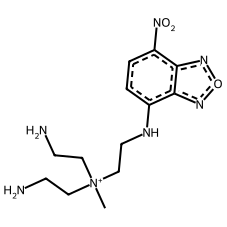 C[N+](CCN)(CCN)CCNc1ccc([N+](=O)[O-])c2nonc12